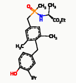 CCOC(=O)[C@H](C)NP(C)(=O)Cc1cc(C)c(Cc2ccc(O)c(C(C)C)c2)c(C)c1